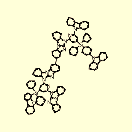 c1ccc([Si](c2ccccc2)(c2ccc(-n3c4ccccc4c4ccccc43)cc2)c2cc(-n3c4ccccc4c4ccccc43)nc(-n3c4ccccc4n4c5ccc(-c6ccc7nc8n(-c9cc([Si](c%10ccccc%10)(c%10ccccc%10)c%10cccc%11c%10oc%10ccccc%10%11)cc(-n%10c%11ccccc%11n%11c%12ccccc%12nc%10%11)n9)c9ccccc9n8c7c6)cc5nc34)c2)cc1